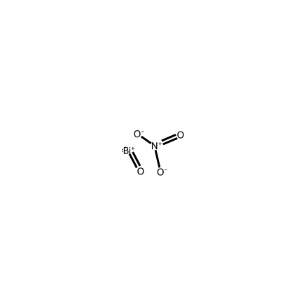 O=[N+]([O-])[O-].[O]=[Bi+]